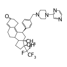 C[C@]12C[C@H](c3ccc(CN4CCN(c5cnccn5)CC4)cc3)C3=C4CCC(=O)C=C4CCC3C1CC[C@@]2(O)C(F)(F)C(F)(F)F